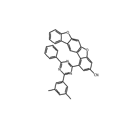 Cc1cc(C)cc(-c2nc(-c3ccccc3)nc(-c3cc(C#N)cc4oc5cc6oc7ccccc7c6cc5c34)n2)c1